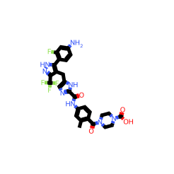 Cc1cc(NC(=O)c2ncc(Cc3c(C(F)(F)F)n[nH]c3-c3ccc(N)cc3F)[nH]2)ccc1C(=O)N1CCN(C(=O)O)CC1